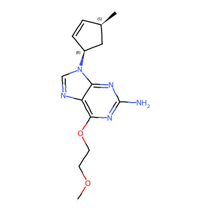 COCCOc1nc(N)nc2c1ncn2[C@H]1C=C[C@@H](C)C1